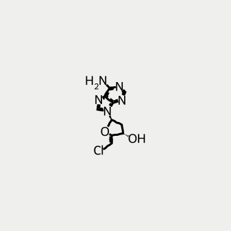 Nc1ncnc2c1ncn2[C@H]1C[C@H](O)/C(=C/Cl)O1